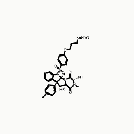 Cc1ccc([C@]23C[C@]4(S)C(=O)N(C)[C@@H](S)C(=O)N4[C@H]2N(S(=O)(=O)c2ccc(OCCCN=[N+]=[N-])cc2)c2ccccc23)cc1